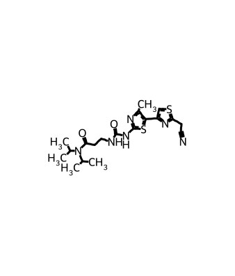 Cc1nc(NC(=O)NCCC(=O)N(C(C)C)C(C)C)sc1-c1csc(CC#N)n1